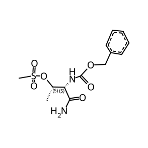 C[C@H](OS(C)(=O)=O)[C@H](NC(=O)OCc1ccccc1)C(N)=O